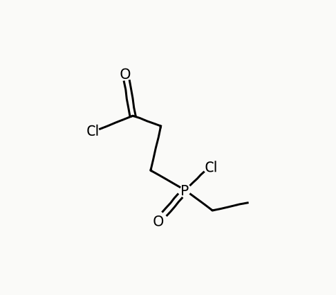 CCP(=O)(Cl)CCC(=O)Cl